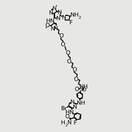 COc1nn(CCOCCOCCOCCOCCOCCOCCNS(=O)(=O)c2ccc(Nc3ncc(Br)c(Nc4cccc(F)c4C(N)=O)n3)cc2)cc1Nc1nc(N2C[C@@H](N)[C@H](F)C2)nc2c1ncn2C